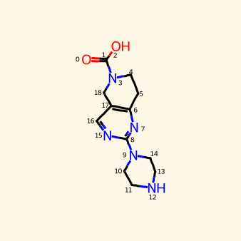 O=C(O)N1CCc2nc(N3CCNCC3)ncc2C1